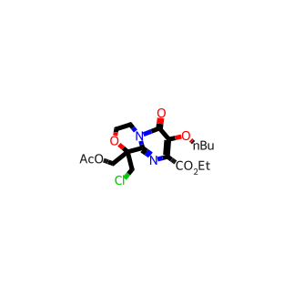 CCCCOc1c(C(=O)OCC)nc2n(c1=O)CCOC2(CCl)COC(C)=O